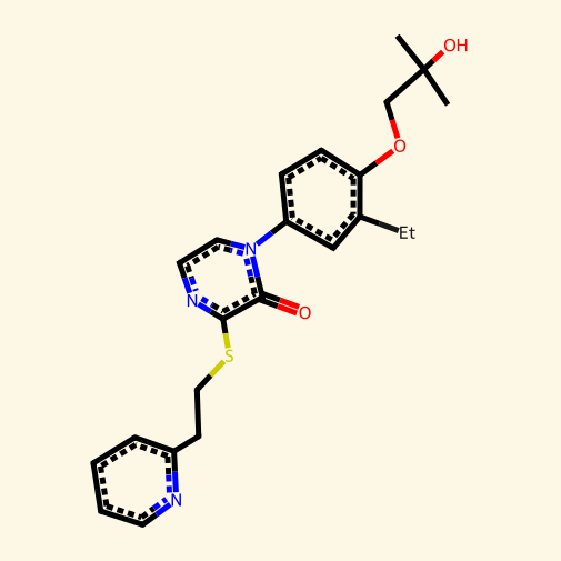 CCc1cc(-n2ccnc(SCCc3ccccn3)c2=O)ccc1OCC(C)(C)O